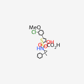 COc1ccc(-c2ccc(S(=O)(=O)N[C@H]3C[C@]3(C)c3ccccc3)s2)cc1Cl.O=C(O)O